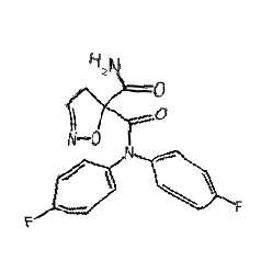 NC(=O)C1(C(=O)N(c2ccc(F)cc2)c2ccc(F)cc2)CC=NO1